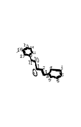 O=C(/C=C/c1ccccc1)CCc1ccccc1